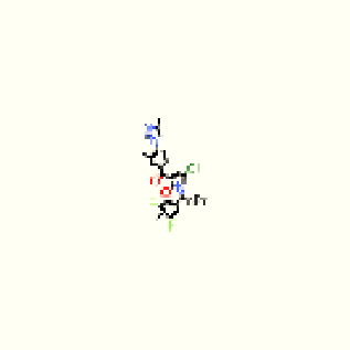 CCCC(c1cc(F)c(C)c(F)c1)n1cc(Cl)cc(C(=O)c2ccc(-n3cnc(C)c3)c(C)c2)c1=O